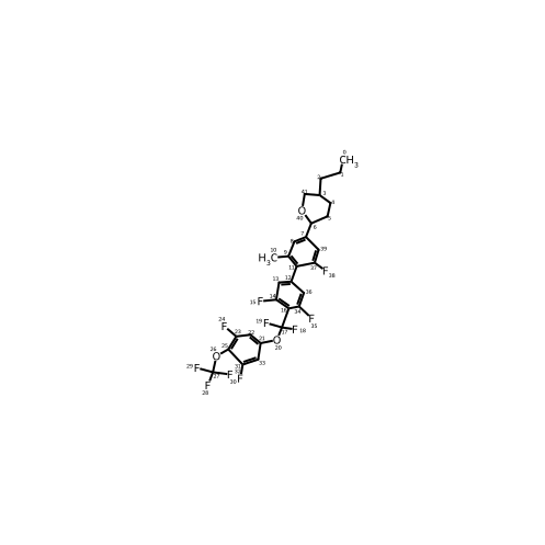 CCCC1CCC(c2cc(C)c(-c3cc(F)c(C(F)(F)Oc4cc(F)c(OC(F)(F)F)c(F)c4)c(F)c3)c(F)c2)OC1